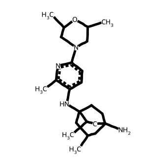 Cc1nc(N2CC(C)OC(C)C2)ccc1NC12CCC(N)(CC(C)C1)CC2C